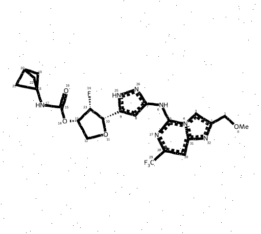 COCc1cn2c(Nc3cc([C@@H]4OC[C@H](OC(=O)NC56CC(C5)C6)[C@@H]4F)[nH]n3)nc(C(F)(F)F)cc2n1